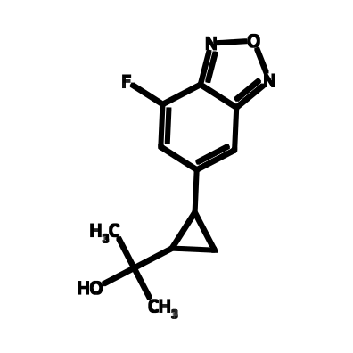 CC(C)(O)C1CC1c1cc(F)c2nonc2c1